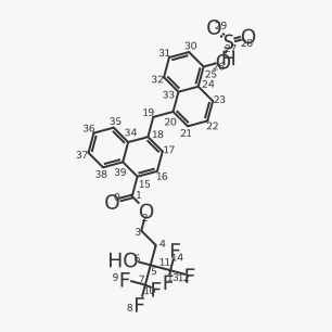 O=C(OCCC(O)(C(F)(F)F)C(F)(F)F)c1ccc(Cc2cccc3c(O[SH](=O)=O)cccc23)c2ccccc12